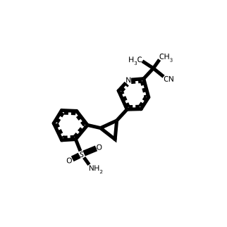 CC(C)(C#N)c1ccc(C2CC2c2ccccc2S(N)(=O)=O)cn1